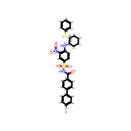 O=C(NS(=O)(=O)c1ccc(N[C@@H]2CCCC[C@H]2Sc2ccccc2)c([N+](=O)[O-])c1)c1ccc(-c2ccc(F)cc2)cc1